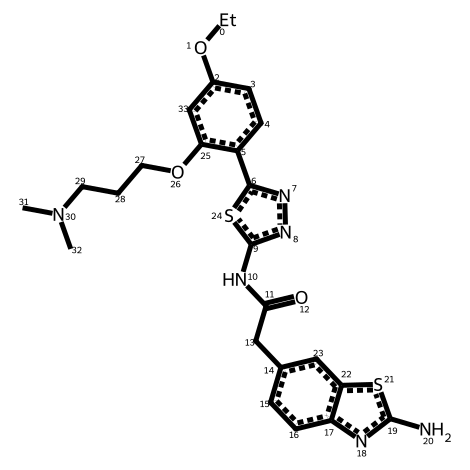 CCOc1ccc(-c2nnc(NC(=O)Cc3ccc4nc(N)sc4c3)s2)c(OCCCN(C)C)c1